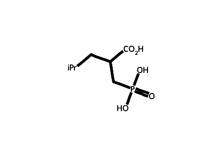 CC(C)CC(CP(=O)(O)O)C(=O)O